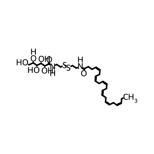 CC/C=C\C/C=C\C/C=C\C/C=C\C/C=C\C/C=C\CCC(=O)NCCSSCCNC(=O)[C@H](O)[C@@H](O)[C@H](O)[C@H](O)CO